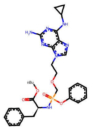 CCCCOC(=O)[C@H](Cc1ccccc1)NP(=O)(COCCn1cnc2c(NC3CC3)nc(N)nc21)Oc1ccccc1